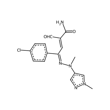 CN(/N=C(\C=C(/C=O)C(N)=O)c1ccc(Cl)cc1)c1cnn(C)c1